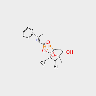 CCC1C(C2CC2)C(OC(=O)/C=C(\C)c2ccccc2)C2(P)CC(O)C1(C)O2